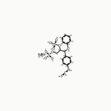 O=S(=O)([O-])OCC(OS(=O)(=O)[O-])C(Oc1ccccc1)c1ccc(N=C=S)cc1.[Na+].[Na+]